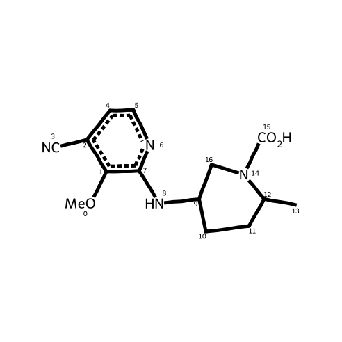 COc1c(C#N)ccnc1NC1CCC(C)N(C(=O)O)C1